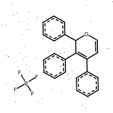 C1=CC(c2ccccc2)=C(c2ccccc2)C(c2ccccc2)O1.F[B-](F)(F)F